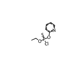 CCOP(=S)(Cl)Oc1ccccn1